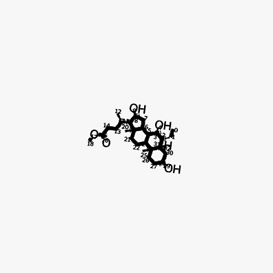 CC[C@H]1[C@@H](O)C2C3C[C@H](O)[C@H]([C@H](C)CCC(=O)OC)[C@@]3(C)CCC2[C@@]2(C)CC[C@@H](O)C[C@@H]12